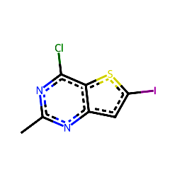 Cc1nc(Cl)c2sc(I)cc2n1